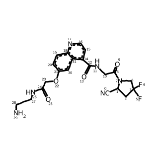 N#CC1CC(F)(F)CN1C(=O)CNC(=O)c1ccnc2ccc(OCC(=O)NCCN)cc12